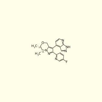 C[C@@H]1OCc2c(-c3ccnc4[nH]ncc34)c(-c3ccc(F)cn3)nn2[C@@H]1C